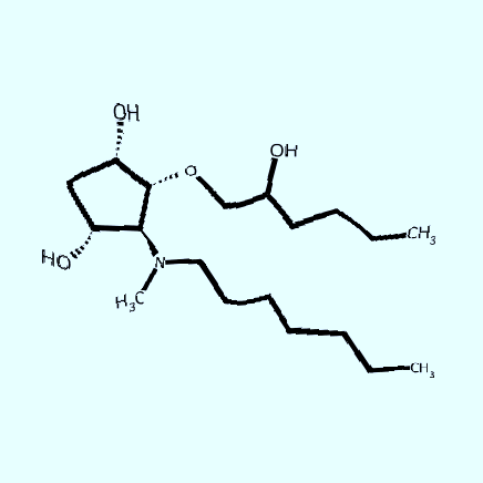 CCCCCCCN(C)[C@@H]1[C@@H](OCC(O)CCCC)[C@@H](O)C[C@H]1O